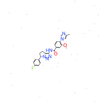 COc1cc(C(=O)Nc2nnn3c2CCC3c2ccc(F)cc2)ccc1-n1cnc(C)c1